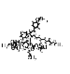 C=CCO[C@H]1O[C@H](CO[Si](C)(C)C(C)(C)C)[C@@H](OCC=C)[C@H](OCC[C@H](CCCCCCCCCCC)OCc2ccc(OC)cc2)[C@@H]1NC(=O)OCC(Cl)(Cl)Cl